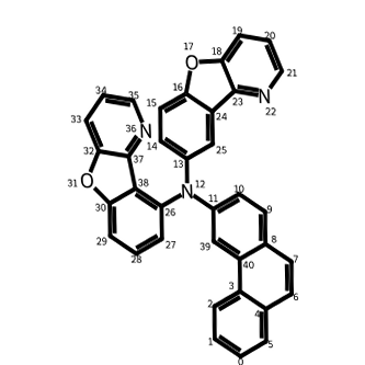 c1ccc2c(c1)ccc1ccc(N(c3ccc4oc5cccnc5c4c3)c3cccc4oc5cccnc5c34)cc12